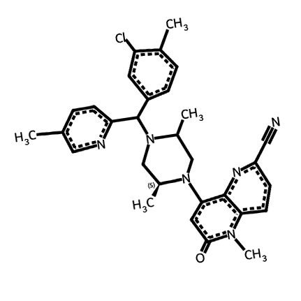 Cc1ccc(C(c2ccc(C)c(Cl)c2)N2C[C@H](C)N(c3cc(=O)n(C)c4ccc(C#N)nc34)CC2C)nc1